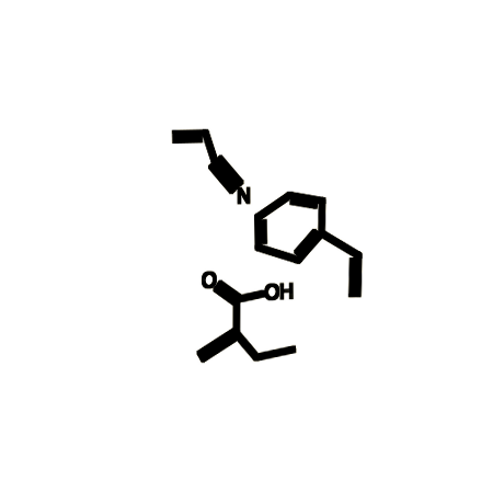 C=C(CC)C(=O)O.C=CC#N.C=Cc1ccccc1